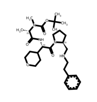 C[C@@H](C(=O)N[C@H](C(=O)N1CCC[C@H]1CNCCc1ccccc1)C1CCOCC1)N(C)C(=O)OC(C)(C)C